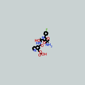 C[C@](O)(CNC(=O)c1cc(COC(=O)O)c2ncccc2c1)c1cc2c(c(-c3ccc(F)cc3)n1)OC[C@]2(C)C(N)=O